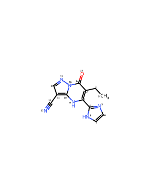 CCc1c(-c2ncc[nH]2)[nH]c2c(C#N)cnn2c1=O